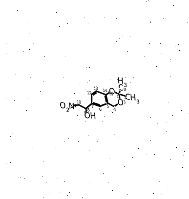 CC1(C)OCc2cc(C(O)C[N+](=O)[O-])ccc2O1